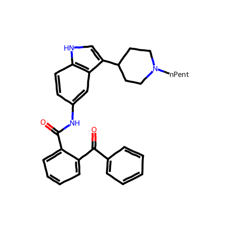 CCCCCN1CCC(c2c[nH]c3ccc(NC(=O)c4ccccc4C(=O)c4ccccc4)cc23)CC1